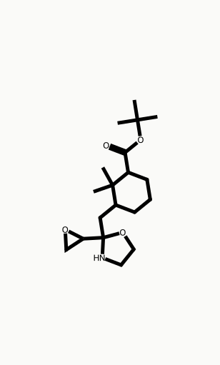 CC(C)(C)OC(=O)C1CCCC(CC2(C3CO3)NCCO2)C1(C)C